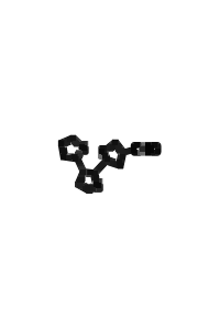 O=Cc1csc(-c2sccc2-c2cccs2)c1